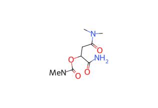 CNC(=O)OC(CC(=O)N(C)C)C(N)=O